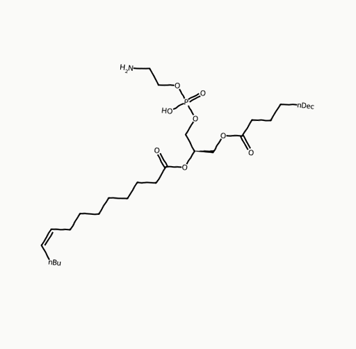 CCCC/C=C\CCCCCCCC(=O)O[C@H](COC(=O)CCCCCCCCCCCCC)COP(=O)(O)OCCN